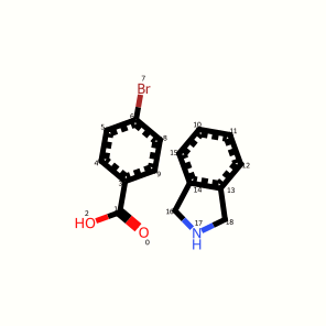 O=C(O)c1ccc(Br)cc1.c1ccc2c(c1)CNC2